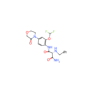 CC(C)CN[C@H](C(N)=O)C(=O)Nc1ccc(N2CCOCC2=O)cc1OC(F)F